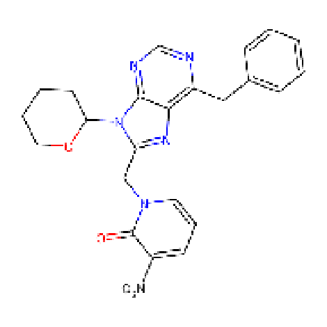 O=c1c([N+](=O)[O-])cccn1Cc1nc2c(Cc3ccccc3)ncnc2n1C1CCCCO1